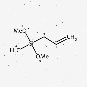 C=CC[Si](C)(OC)OC